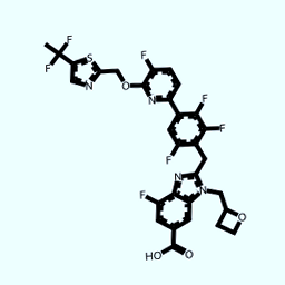 CC(F)(F)c1cnc(COc2nc(-c3cc(F)c(Cc4nc5c(F)cc(C(=O)O)cc5n4CC4CCO4)c(F)c3F)ccc2F)s1